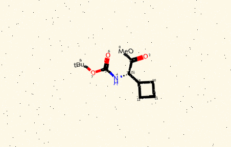 COC(=O)[C@@H](NC(=O)OC(C)(C)C)C1CCC1